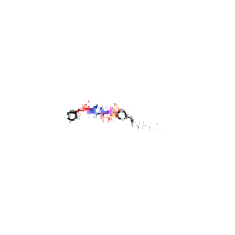 CC(=O)NCCc1ccc(S(=O)(=O)NC(=O)c2ccc(C(=O)OCc3ccccc3)nc2)cc1